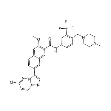 COc1cc2ccc(-c3cnc4ccc(Cl)nn34)cc2cc1C(=O)Nc1ccc(CN2CCN(C)CC2)c(C(F)(F)F)c1